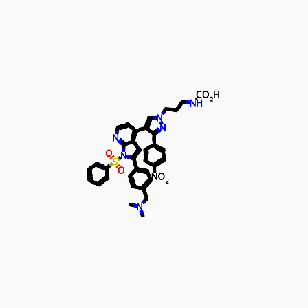 CN(C)Cc1ccc(-c2cc3c(-c4cn(CCCNC(=O)O)nc4-c4ccc([N+](=O)[O-])cc4)ccnc3n2S(=O)(=O)c2ccccc2)cc1